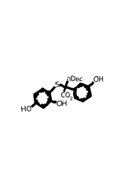 CCCCCCCCCCC(Sc1ccc(O)cc1O)(C(=O)O)c1cccc(O)c1